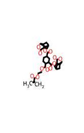 C=C(C)C(=O)OCCOC(=O)C1CCC(C(=O)OC2C3CC4C(=O)OC2C4C3)CC1C(=O)OC1C2CC3C(=O)OC1C3C2